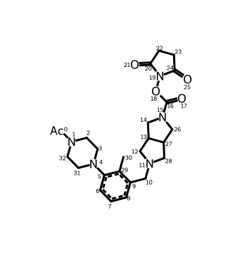 CC(=O)N1CCN(c2cccc(CN3CC4CN(C(=O)ON5C(=O)CCC5=O)CC4C3)c2C)CC1